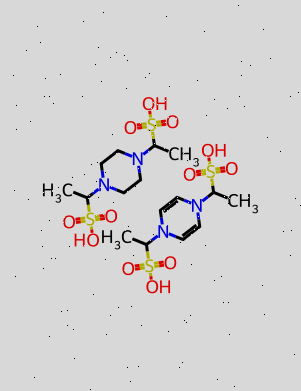 CC(N1C=CN(C(C)S(=O)(=O)O)C=C1)S(=O)(=O)O.CC(N1CCN(C(C)S(=O)(=O)O)CC1)S(=O)(=O)O